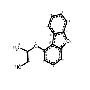 CC(CO)Oc1cccc2oc3ccccc3c12